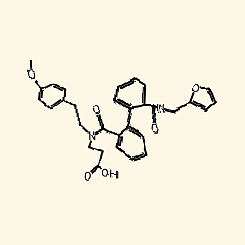 COc1ccc(CCN(CCC(=O)O)C(=O)c2ccccc2-c2ccccc2C(=O)NCc2ccco2)cc1